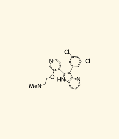 CNCCOc1cnccc1-c1[nH]c2cccnc2c1-c1cc(Cl)cc(Cl)c1